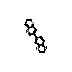 c1cnc2cc(-c3ccc4nccnc4c3)cnc2c1